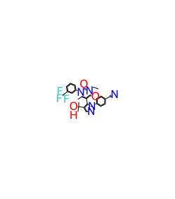 CCn1c(=O)c(-c2c(C(C)(C)O)cnn2-c2ccc(C#N)cc2)c(C)n(-c2cccc(C(F)(F)F)c2)c1=O